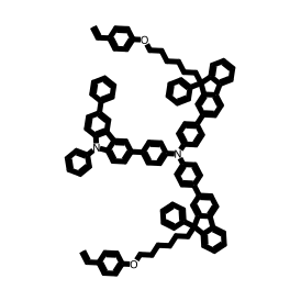 C=Cc1ccc(OCCCCCCC2(c3ccccc3)c3ccccc3-c3ccc(-c4ccc(N(c5ccc(-c6ccc7c(c6)C(CCCCCCOc6ccc(C=C)cc6)(c6ccccc6)c6ccccc6-7)cc5)c5ccc(-c6ccc7c(c6)c6cc(-c8ccccc8)ccc6n7-c6ccccc6)cc5)cc4)cc32)cc1